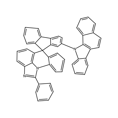 c1ccc(-c2nc3cccc4c3n2-c2ccccc2C42c3ccccc3-c3ccc(-n4c5ccccc5c5ccc6ccccc6c54)cc32)cc1